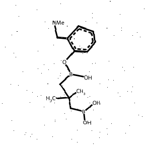 CNCc1ccccc1OB(O)CC(C)(C)CB(O)O